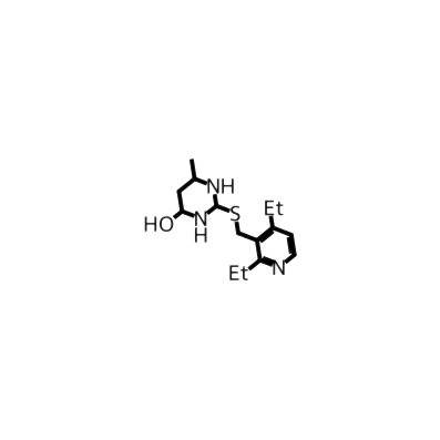 CCc1ccnc(CC)c1CSC1NC(C)CC(O)N1